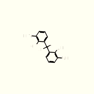 Nc1cccc(C(F)(F)c2cccc(N)c2O)c1O